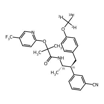 [2H]C([2H])([18F])Oc1ccc(C[C@@H](c2cccc(C#N)c2)[C@H](C)NC(=O)C(C)(C)Oc2ccc(C(F)(F)F)cn2)cc1